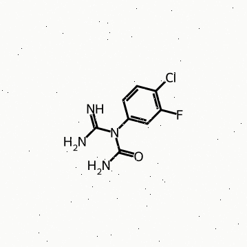 N=C(N)N(C(N)=O)c1ccc(Cl)c(F)c1